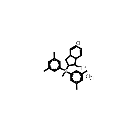 Cc1cc(C)cc([Si](C)(c2cc(C)cc(C)c2)C2CC3C=CC=CC3[CH]2[Ti+3])c1.[Cl-].[Cl-].[Cl-]